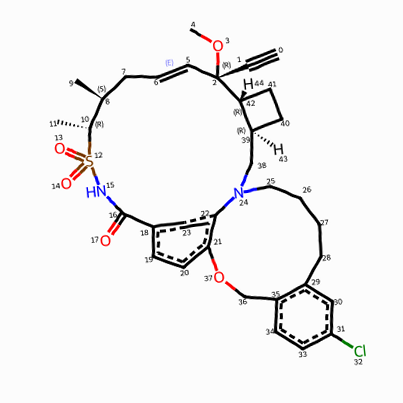 C#C[C@]1(OC)/C=C/C[C@H](C)[C@@H](C)S(=O)(=O)NC(=O)c2ccc3c(c2)N(CCCCc2cc(Cl)ccc2CO3)C[C@@H]2CC[C@H]21